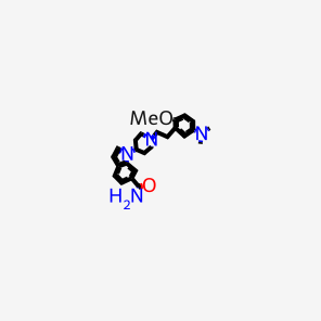 COc1ccc(N(C)C)cc1CCN1CCC(n2ccc3ccc(C(N)=O)cc32)CC1